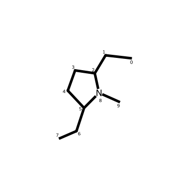 CCC1CCC(CC)N1C